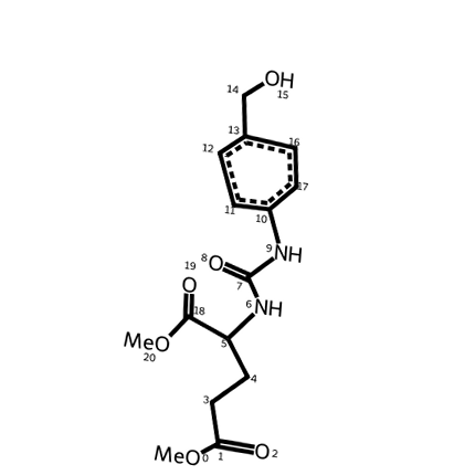 COC(=O)CCC(NC(=O)Nc1ccc(CO)cc1)C(=O)OC